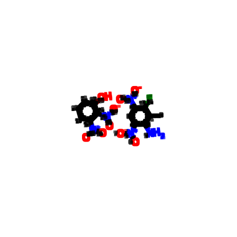 Cc1c(N)c([N+](=O)[O-])cc([N+](=O)[O-])c1F.O=[N+]([O-])c1cccc(O)c1[N+](=O)[O-]